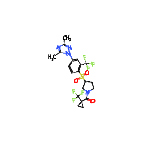 Cc1nc(C)n(-c2ccc(S(=O)(=O)C3CCN(C(=O)C4(C(F)(F)F)CC4)C3)c(C(F)(F)F)c2)n1